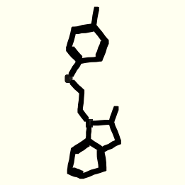 Cc1ccc(OCCN2c3ccccc3CC2C)cc1